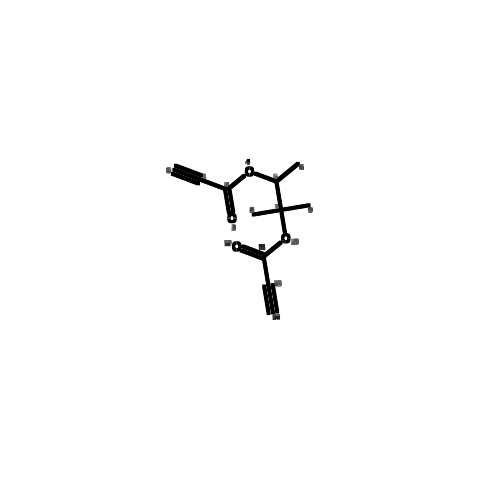 C#CC(=O)OC(C)C(C)(C)OC(=O)C#C